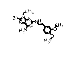 CCn1c(Br)nc2c(N)nc(NCCc3ccc(OC)c(OC)c3)nc21